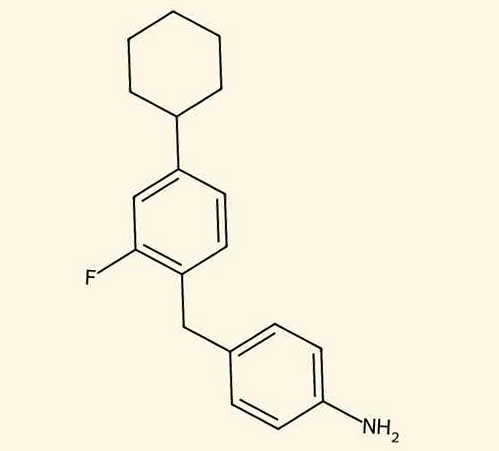 Nc1ccc(Cc2ccc(C3CCCCC3)cc2F)cc1